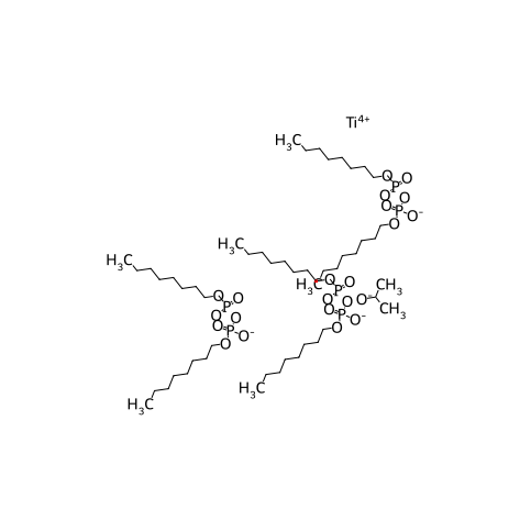 CC(C)[O-].CCCCCCCCOP(=O)([O-])OP(=O)([O-])OCCCCCCCC.CCCCCCCCOP(=O)([O-])OP(=O)([O-])OCCCCCCCC.CCCCCCCCOP(=O)([O-])OP(=O)([O-])OCCCCCCCC.[Ti+4]